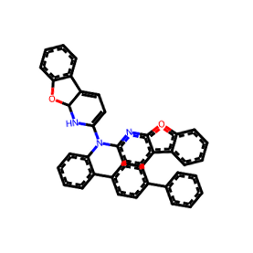 C1=C2c3ccccc3OC2NC(N(c2ccc3c(n2)oc2ccccc23)c2ccccc2-c2ccc(-c3ccccc3)cc2)=C1